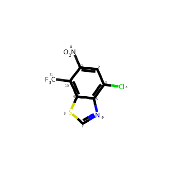 O=[N+]([O-])c1cc(Cl)c2ncsc2c1C(F)(F)F